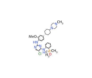 COc1cc([C@H]2CC[C@H](N3CCN(C)CC3)CC2)ccc1Nc1ncc(Cl)c(Nc2ccccc2P(C)(C)=O)n1